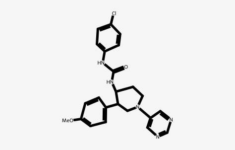 COc1ccc(C2CN(c3cncnc3)CCC2NC(=O)Nc2ccc(Cl)cc2)cc1